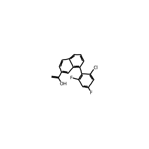 C=C(O)c1ccc2cccc(-c3c(F)cc(F)cc3Cl)c2c1